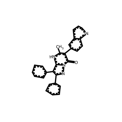 Cc1[nH]c2c(-c3ccccc3)c(-c3ccccc3)nn2c(=O)c1-c1ccc2ncccc2c1